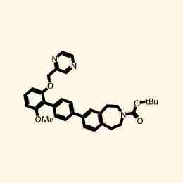 COc1cccc(OCc2cnccn2)c1-c1ccc(-c2ccc3c(c2)CCN(C(=O)OC(C)(C)C)CC3)cc1